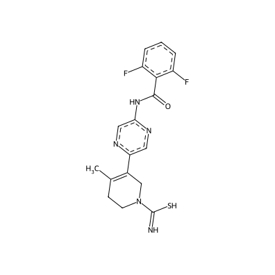 CC1=C(c2cnc(NC(=O)c3c(F)cccc3F)cn2)CN(C(=N)S)CC1